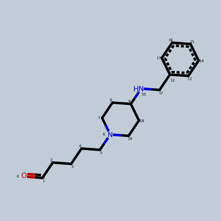 O=[C]CCCCN1CCC(NCc2ccccc2)CC1